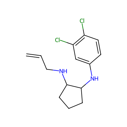 C=CCNC1CCCC1Nc1ccc(Cl)c(Cl)c1